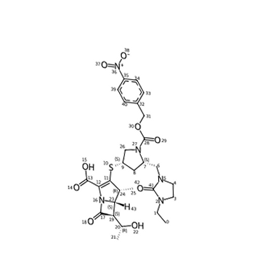 CCN1CCN(C[C@@H]2C[C@H](SC3=C(C(=O)O)N4C(=O)[C@H]([C@@H](C)O)[C@H]4[C@H]3C)CN2C(=O)OCc2ccc([N+](=O)[O-])cc2)C1=O